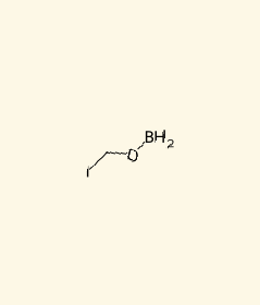 BOCI